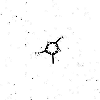 Cc1oc(C(C)C)nc1C(F)(F)F